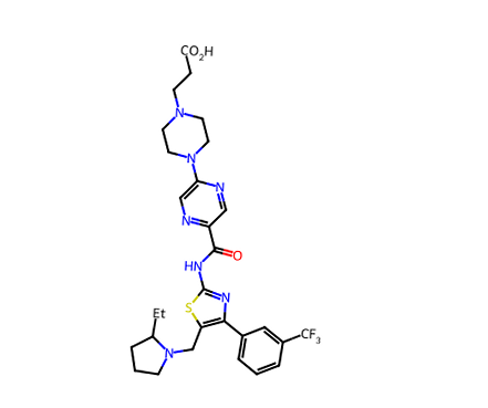 CCC1CCCN1Cc1sc(NC(=O)c2cnc(N3CCN(CCC(=O)O)CC3)cn2)nc1-c1cccc(C(F)(F)F)c1